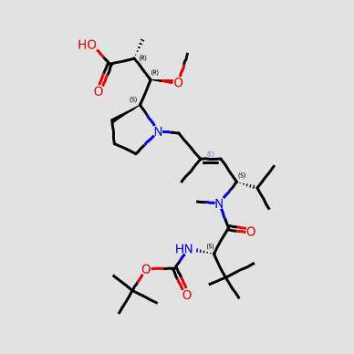 CO[C@H]([C@@H](C)C(=O)O)[C@@H]1CCCN1C/C(C)=C/[C@H](C(C)C)N(C)C(=O)[C@@H](NC(=O)OC(C)(C)C)C(C)(C)C